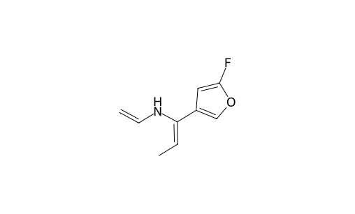 C=CN/C(=C\C)c1coc(F)c1